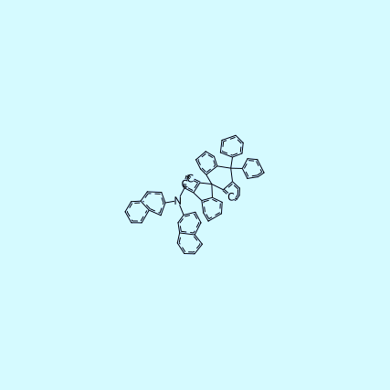 c1ccc(C2(c3ccccc3)c3ccccc3C3(c4ccccc4-c4c(N(c5ccc6ccccc6c5)c5ccc6ccccc6c5)cccc43)c3ccccc32)cc1